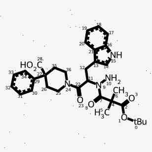 CC(C)(C)OC(=O)C(C)(C)C(=O)N(N)C(Cc1c[nH]c2ccccc12)C(=O)N1CCC(C(=O)O)(c2ccccc2)CC1